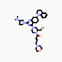 CN(C)C1CCN(c2nc3c(c(N4CCN(C(=O)C=CCN5CCOCC5)C(CC#N)C4)n2)CCC(N2CCCc4ccccc42)C3)C1